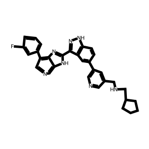 Fc1cccc(-c2cncc3[nH]c(-c4n[nH]c5ccc(-c6cncc(CNCC7CCCC7)c6)cc45)nc23)c1